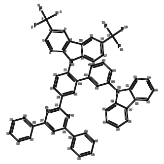 FC(F)(F)c1ccc2c(c1)c1cc(C(F)(F)F)ccc1n2-c1ccc(-c2nc(-c3ccccc3)cc(-c3ccccc3)n2)cc1-c1cccc(-n2c3ccccc3c3ccccc32)c1